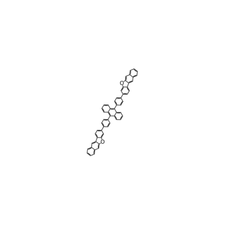 c1ccc2cc3c(cc2c1)oc1cc(-c2ccc(-c4c5ccccc5c(-c5ccc(-c6ccc7c(c6)oc6cc8ccccc8cc67)cc5)c5ccccc45)cc2)ccc13